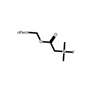 CCCCCCOC(=O)C[Si](C)(C)F